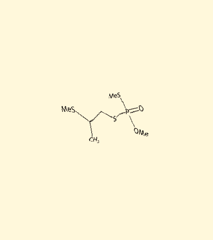 COP(=O)(SC)SCC(C)SC